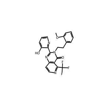 COc1ccccc1CCn1c(-c2ncccc2O)nc2ccnc(C(F)(F)F)c2c1=O